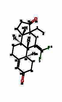 CCC12CC(=C(F)F)[C@H]3[C@@H](CCC4=CC(=O)CC[C@@H]43)[C@@H]1CCC2=O